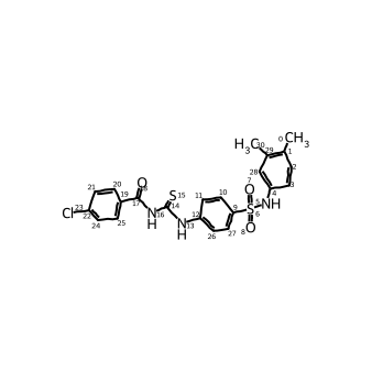 Cc1ccc(NS(=O)(=O)c2ccc(NC(=S)NC(=O)c3ccc(Cl)cc3)cc2)cc1C